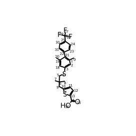 Cc1cc(SCC(C)(C)Cc2ccc(C(=O)O)s2)cc(C)c1-c1ccc(C(F)(F)F)cc1